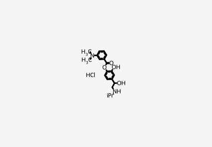 CC(C)NCC(O)c1ccc(OC(=O)c2cccc(N(C)C)c2)c(O)c1.Cl